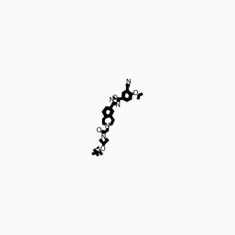 CC(C)Oc1ccc(-c2nc(-c3ccc4c(c3)CCN(CC(=O)N3CC(O[Si](C)(C)C(C)(C)C)C3)CC4)no2)cc1C#N